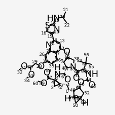 CC[C@@H]1C[C@]1(NC(=O)[C@@H]1C[C@@H](Oc2cc(-c3csc(NC(C)C)n3)nc3cc(OCC(OC)OC)ccc23)CN1C(=O)[C@@H](NC(=O)O[C@@H]1C[C@@H]2C[C@@H]2C1)C(C)(C)C)C(=O)OC